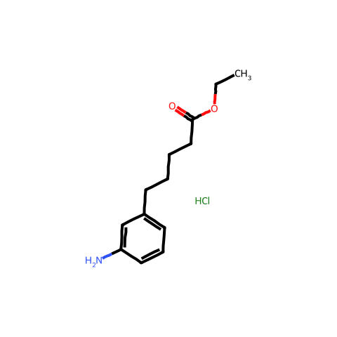 CCOC(=O)CCCCc1cccc(N)c1.Cl